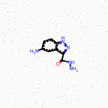 NNC(=O)c1n[nH]c2ccc(N)cc12